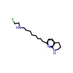 FCCNCCCCCCCCc1ccc2c(n1)NCCC2